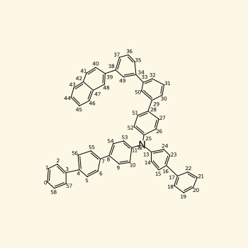 c1ccc(-c2ccc(-c3ccc(N(c4ccc(-c5ccccc5)cc4)c4ccc(-c5cccc(-c6cccc(-c7ccc8ccccc8c7)c6)c5)cc4)cc3)cc2)cc1